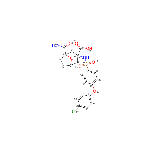 NC(=O)C12CCC(CC(NS(=O)(=O)c3ccc(Oc4ccc(Cl)cc4)cc3)(C(=O)O)C1)O2